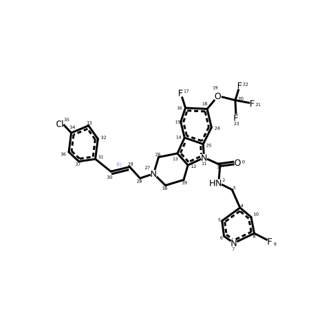 O=C(NCc1ccnc(F)c1)n1c2c(c3cc(F)c(OC(F)(F)F)cc31)CN(C/C=C/c1ccc(Cl)cc1)CC2